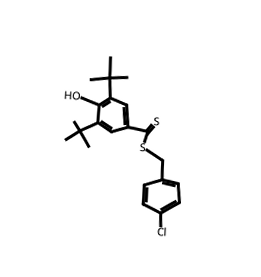 CC(C)(C)c1cc(C(=S)SCc2ccc(Cl)cc2)cc(C(C)(C)C)c1O